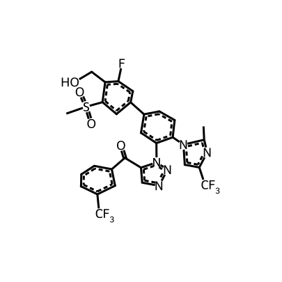 Cc1nc(C(F)(F)F)cn1-c1ccc(-c2cc(F)c(CO)c(S(C)(=O)=O)c2)cc1-n1nncc1C(=O)c1cccc(C(F)(F)F)c1